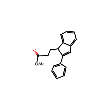 COC(=O)CCC1C(c2ccccc2)=Cc2ccccc21